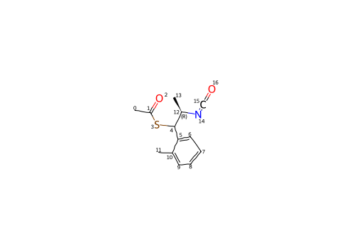 CC(=O)SC(c1ccccc1C)[C@@H](C)N=C=O